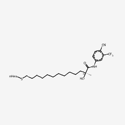 CCCCCCSCCCCCCCCCCC[C@](C)(O)C(=O)Nc1ccc(C#N)c(C(F)(F)F)c1